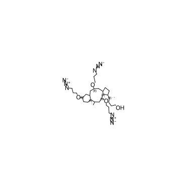 CC1C[C@H](OCCCN=[N+]=[N-])[C@@]2(C)C(CCC2[C@H](C)CCCO)C[C@H](OCCCN=[N+]=[N-])CC2C[C@H](OCCCN=[N+]=[N-])CC[C@]12C